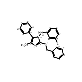 Cc1nc(SCc2ccccc2)n(Nc2cccc(Cl)c2)c1-c1ccccc1